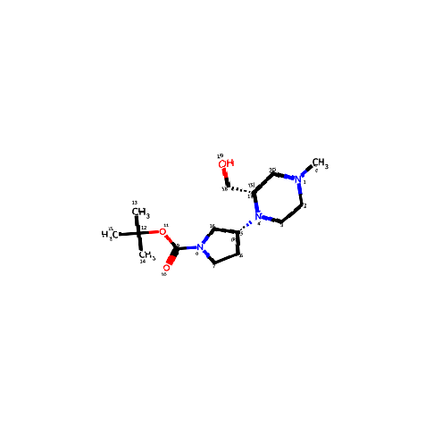 CN1CCN([C@@H]2CCN(C(=O)OC(C)(C)C)C2)[C@H](CO)C1